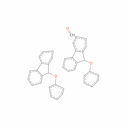 C=O.c1ccc(OC2c3ccccc3-c3ccccc32)cc1.c1ccc(OC2c3ccccc3-c3ccccc32)cc1